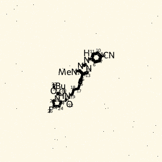 CNc1nc(Nc2ccc(C#N)cc2)ncc1C#CCCCNC(=O)[C@@H]1C[C@H](F)CN1C(=O)OC(C)(C)C